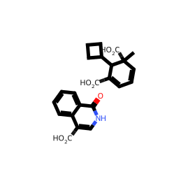 CC1(C(=O)O)C=CC=C(C(=O)O)C1C1CCC1.O=C(O)c1c[nH]c(=O)c2ccccc12